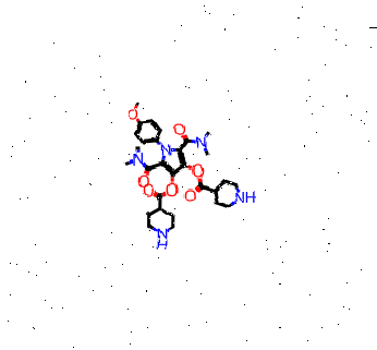 COc1ccc(-n2c(C(=O)N(C)C)c(OC(=O)C3CCNCC3)c(OC(=O)C3CCNCC3)c2C(=O)N(C)C)cc1